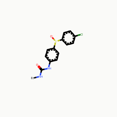 CCNC(=O)Nc1ccc([S+]([O-])c2ccc(Cl)cc2)cc1